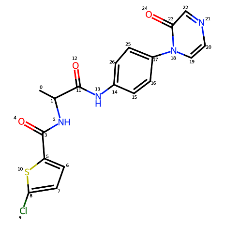 CC(NC(=O)c1ccc(Cl)s1)C(=O)Nc1ccc(-n2ccncc2=O)cc1